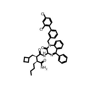 CCCC[C@H](C(N)=O)[C@@H](CC1CCC1)C(=O)NC1N=C(c2ccccc2)c2ccccc2N(Cc2cccc(-c3ccc(Cl)cc3Cl)c2)C1=O